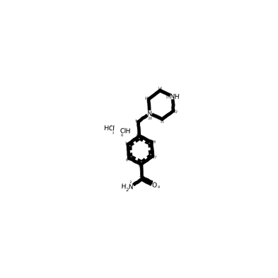 Cl.Cl.NC(=O)c1ccc(CN2CCNCC2)cc1